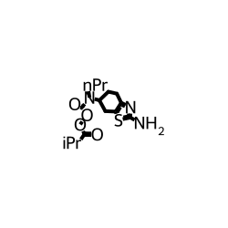 CCCN(C(=O)OOC(=O)C(C)C)C1CCc2nc(N)sc2C1